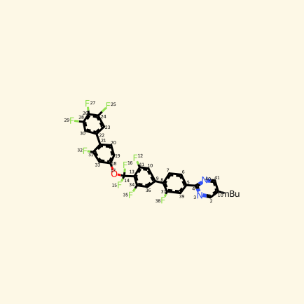 CCCCc1cnc(-c2ccc(-c3cc(F)c(C(F)(F)Oc4ccc(-c5cc(F)c(F)c(F)c5)c(F)c4)c(F)c3)c(F)c2)nc1